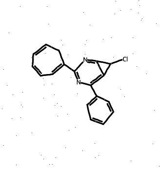 ClC1c2nc(C3=CC=CC=CC3)nc(-c3ccccc3)c21